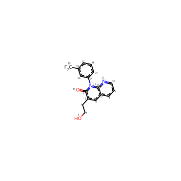 O=c1c(CCO)cc2cccnc2n1-c1cccc(C(F)(F)F)c1